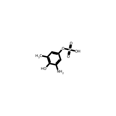 Cc1cc(OS(=O)(=O)O)cc(N)c1O